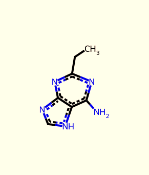 CCc1nc(N)c2[nH]cnc2n1